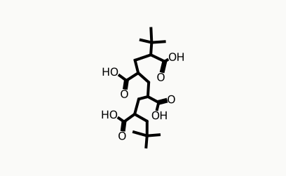 CC(C)(C)CC(CC(CC(CC(C(=O)O)C(C)(C)C)C(=O)O)C(=O)O)C(=O)O